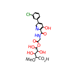 COC(C(=O)O)C(O)C(O)[C@@H](O)OC(=O)CNC(=O)c1ncc(-c2cccc(Cl)c2)cc1O